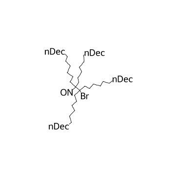 CCCCCCCCCCCCCCCCC(Br)(CCCCCCCCCCCCCCCC)C(CCCCCCCCCCCCCCCC)(CCCCCCCCCCCCCCCC)N=O